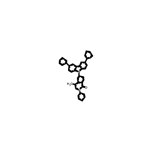 Cc1cn(-c2ccccc2)c(=O)c2ccc(-n3c4ccc(-c5ccccc5)cc4c4cc(-c5ccccc5)ccc43)cc12